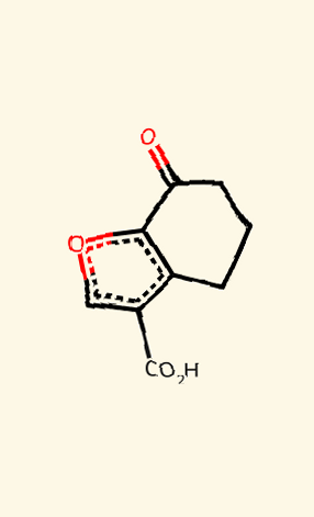 O=C(O)c1coc2c1CCCC2=O